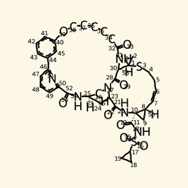 CC1(C)SCC/C=C\[C@@H]2C[C@@]2(C(=O)NS(=O)(=O)C2CC2)NC(=O)[C@@H]2C[C@@H]3CN2C(=O)[C@H]1NC(=O)CCCCCOc1cccc(c1)-c1cccc(n1)C(=O)N3